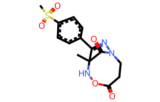 CC12NOC(=O)CCN(N=C1c1ccc(S(C)(=O)=O)cc1)C2=O